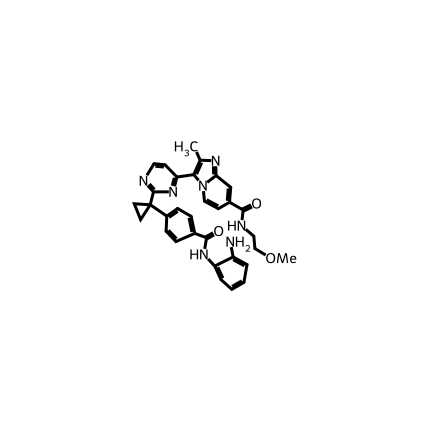 COCCNC(=O)c1ccn2c(-c3ccnc(C4(c5ccc(C(=O)Nc6ccccc6N)cc5)CC4)n3)c(C)nc2c1